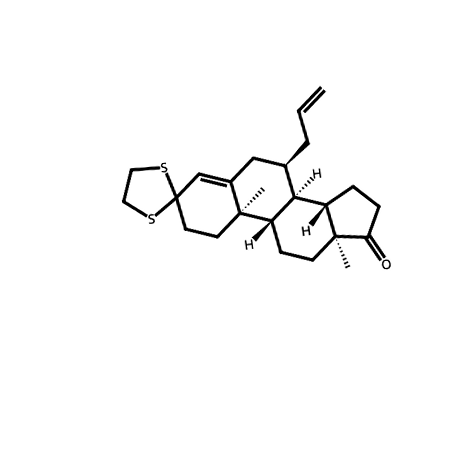 C=CC[C@@H]1CC2=CC3(CC[C@]2(C)[C@H]2CC[C@]4(C)C(=O)CC[C@H]4[C@H]12)SCCS3